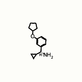 N[C@@H](c1cccc(OC2CCCC2)c1)C1CC1